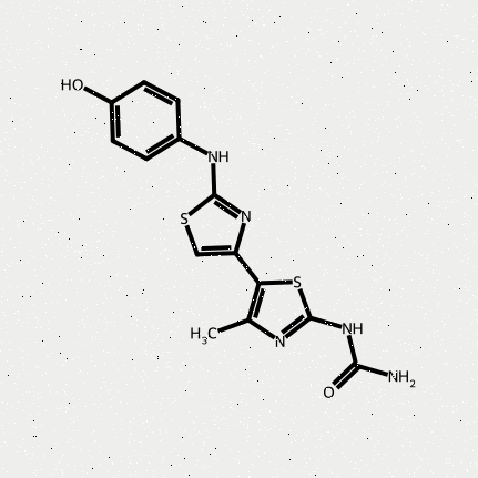 Cc1nc(NC(N)=O)sc1-c1csc(Nc2ccc(O)cc2)n1